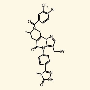 CC(C)Cc1cnn2c3c(c(=O)n(-c4ccc(-c5n[nH]c(=O)n5C)cc4)c12)CC(C)N(C(=O)c1ccc(Br)c(C(F)(F)F)c1)C3